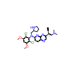 C#C/C(=C\N(C)C)c1cnc2ccc(N(CC3CCCN3)c3c(Cl)c(OC)cc(OC)c3Cl)nc2n1